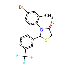 Cc1cc(Br)ccc1N1C(=O)CSC1c1cccc(C(F)(F)F)c1